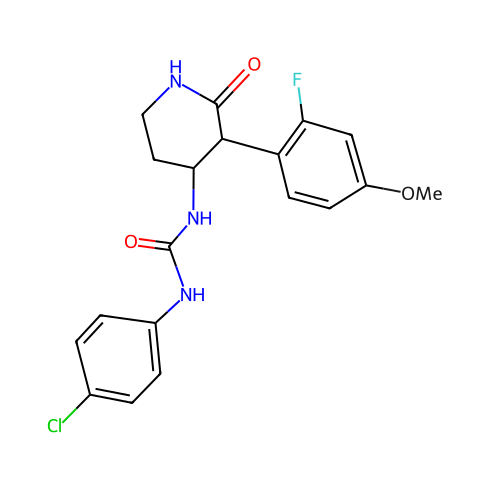 COc1ccc(C2C(=O)NCCC2NC(=O)Nc2ccc(Cl)cc2)c(F)c1